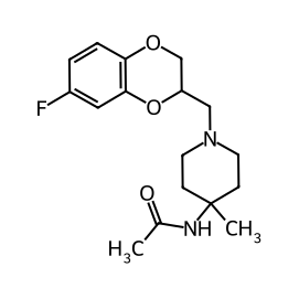 CC(=O)NC1(C)CCN(CC2COc3ccc(F)cc3O2)CC1